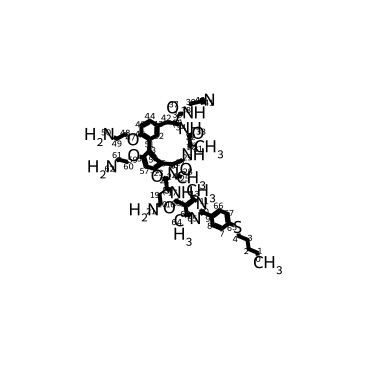 CCCCCSc1ccc(-c2nc(C)c(C(=O)N[C@@H](CCN)C(=O)N(C)[C@@H]3C(=O)N[C@@H](C)C(=O)N[C@H](C(=O)NCC#N)Cc4ccc(OCCN)c(c4)-c4cc3ccc4OCCN)c(C)n2)cc1